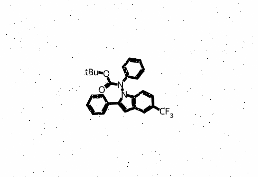 CC(C)(C)OC(=O)N(c1ccccc1)n1c(-c2ccccc2)cc2cc(C(F)(F)F)ccc21